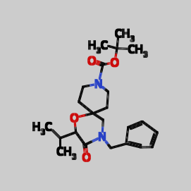 CC(C)C1OC2(CCN(C(=O)OC(C)(C)C)CC2)CN(Cc2ccccc2)C1=O